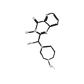 CCCC(c1nc2cccnc2c(=O)n1CC)N1CCCN(C)CC1